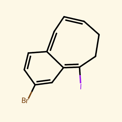 Brc1ccc2/c(c1)=C(/I)CC/C=C\C=2